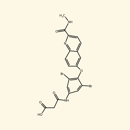 CNC(=O)c1ccc2cc(Oc3c(Br)cc(NC(=O)CC(=O)O)cc3Br)ccc2n1